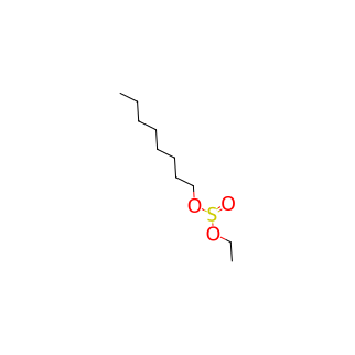 CCCCCCCCOS(=O)OCC